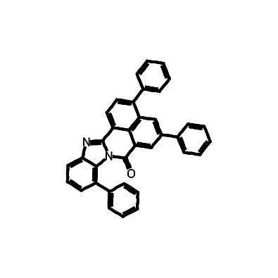 O=c1c2cc(-c3ccccc3)cc3c(-c4ccccc4)ccc(c32)c2nc3cccc(-c4ccccc4)c3n12